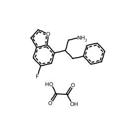 NCC(Cc1ccccc1)c1cc(F)cc2ccoc12.O=C(O)C(=O)O